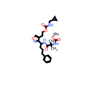 CC(C)(C)OC(=O)NC(C)(C)C(=O)NC(CCCc1ccccc1)c1nocc1CCOC(=O)NCC1CC1